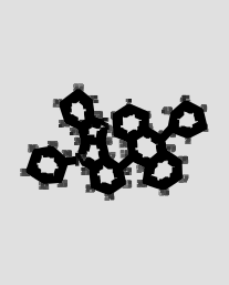 c1ccc(-c2c3ccccc3c(-c3cccc4c3c3sc5ccccc5c3n4-c3ccccc3)c3ccccc23)cc1